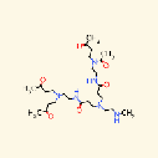 CNCCN(CCC(=O)NCCN(CCC(C)=O)CCC(C)=O)CCC(=O)NCCN(CCC(C)=O)C(C)=O